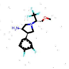 COC[C@H](N1C[C@@H](N)[C@H](c2ccc(F)c(F)c2)C1)C(F)(F)F